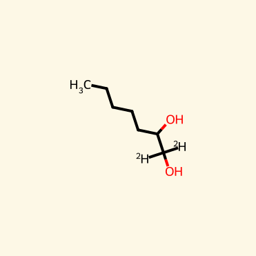 [2H]C([2H])(O)C(O)CCCCC